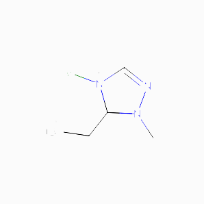 CN1N=CN(Br)C1CC(C)(C)C